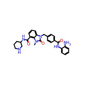 Cn1c(=O)n(Cc2ccc(C(=O)Nc3ccccc3N)cc2)c2cccc(C(=O)NC3CCCNC3)c21